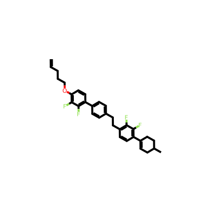 C=CCCCOc1ccc(-c2ccc(CCc3ccc(C4=CCC(C)CC4)c(F)c3F)cc2)c(F)c1F